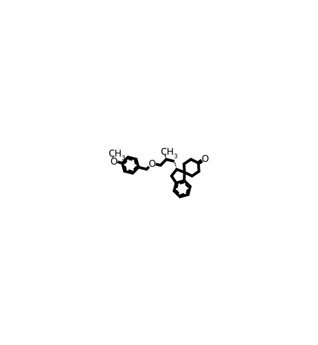 COc1ccc(COC[C@H](C)C[C@H]2Cc3ccccc3C23CCC(=O)CC3)cc1